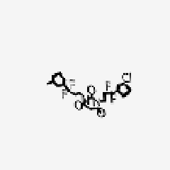 Cc1cccc(C(F)(F)CCN2C(=O)CC(=O)N(CCC(F)(F)c3cccc(Cl)c3)C2=O)c1